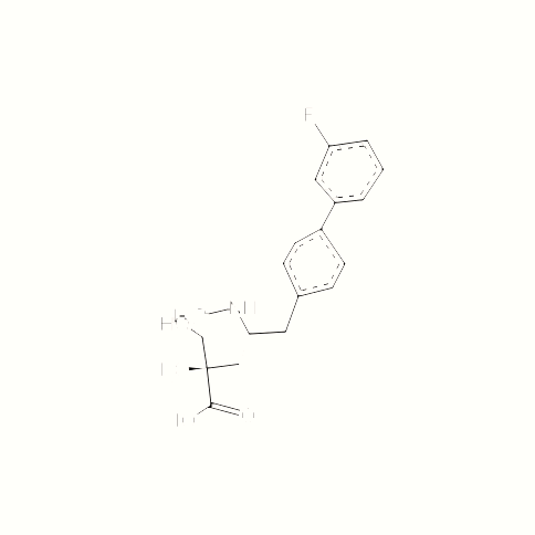 C[C@@](CO)(C[C@@H](Cc1ccc(-c2cccc(F)c2)cc1)NP)C(=O)O